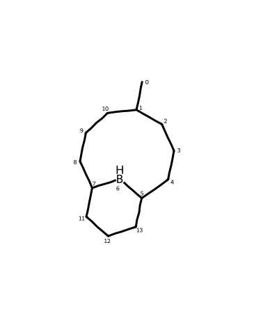 CC1CCCC2BC(CCC1)CCC2